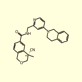 C[C@@]1(C#N)COCc2ccc(C(=O)NCc3cc(N4CCc5ccccc5C4)ccn3)cc21